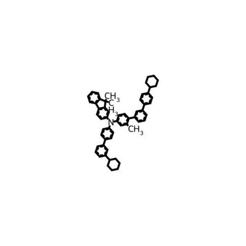 Cc1cc(N(c2ccc(-c3cccc(C4CCCCC4)c3)cc2)c2ccc3c(c2)C(C)(C)c2ccccc2-3)ccc1-c1cccc(-c2ccc(C3CCCCC3)cc2)c1